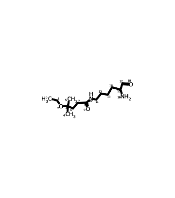 CCOC(C)(C)CCC(=O)NCCCCC(N)C=O